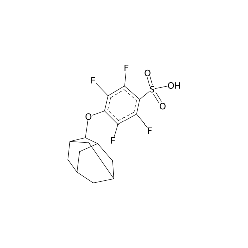 O=S(=O)(O)c1c(F)c(F)c(OC2C3CC4CC(C3)CC2C4)c(F)c1F